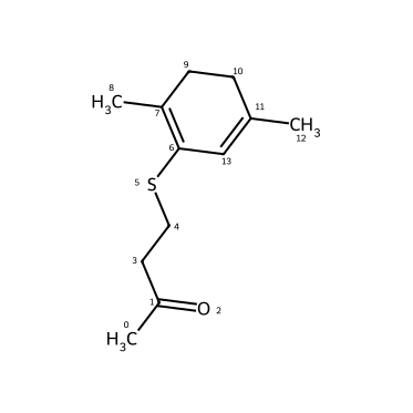 CC(=O)CCSC1=C(C)CCC(C)=C1